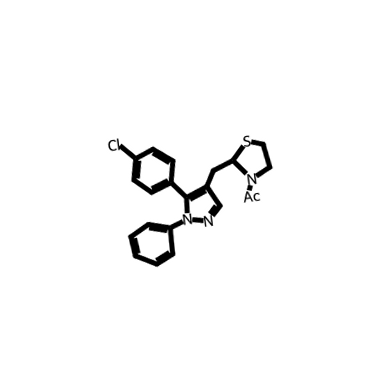 CC(=O)N1CCSC1Cc1cnn(-c2ccccc2)c1-c1ccc(Cl)cc1